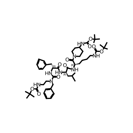 CC(C)C[C@@H](NC(=O)[C@@H](Cc1ccccc1)NC(=O)N(CCNC(=O)OC(C)(C)C)Cc1ccccc1)C(=O)N[C@H](CCCCNC(=O)OC(C)(C)C)C(=O)N1CCC(NC(=O)OC(C)(C)C)CC1